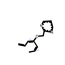 C=C/C=C(\C=C/C)OCc1ncccn1